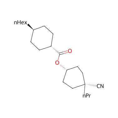 CCCCCC[C@H]1CC[C@H](C(=O)O[C@H]2CC[C@](C#N)(CCC)CC2)CC1